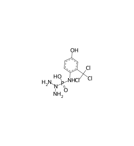 NN(N)P(=O)(O)Nc1ccc(O)cc1C(Cl)(Cl)Cl